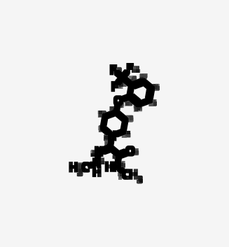 CN/N=C(\C(=O)NC)N1CCC(Oc2ccccc2C(F)(F)F)CC1